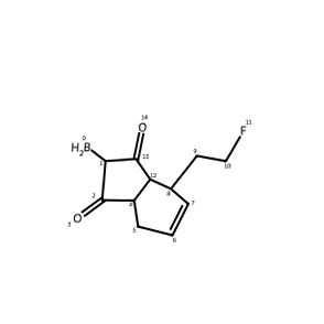 BC1C(=O)C2CC=CC(CCF)C2C1=O